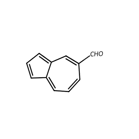 O=Cc1cccc2cccc-2c1